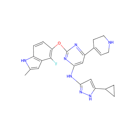 Cc1cc2c(F)c(Oc3nc(Nc4cc(C5CC5)[nH]n4)cc(C4=CCNCC4)n3)ccc2[nH]1